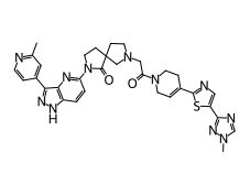 Cc1cc(-c2n[nH]c3ccc(N4CCC5(CCN(CC(=O)N6CC=C(c7ncc(-c8ncn(C)n8)s7)CC6)C5)C4=O)nc23)ccn1